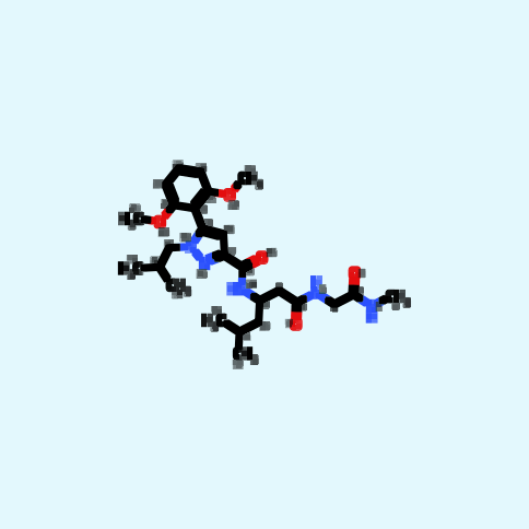 CNC(=O)CNC(=O)CC(CC(C)C)NC(=O)c1cc(-c2c(OC)cccc2OC)n(CC(C)C)n1